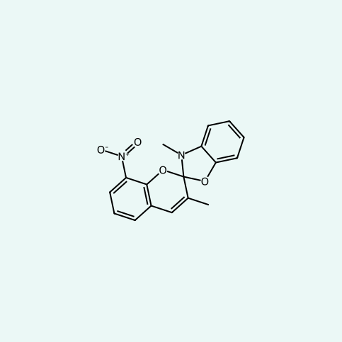 CC1=Cc2cccc([N+](=O)[O-])c2OC12Oc1ccccc1N2C